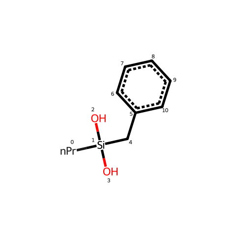 CCC[Si](O)(O)Cc1ccccc1